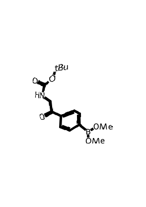 COB(OC)c1ccc(C(=O)CNC(=O)OC(C)(C)C)cc1